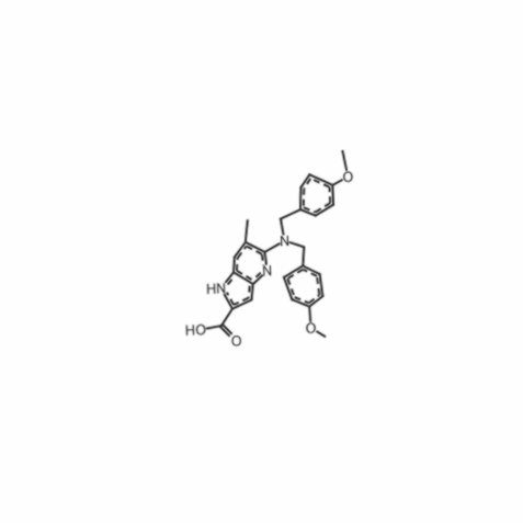 COc1ccc(CN(Cc2ccc(OC)cc2)c2nc3cc(C(=O)O)[nH]c3cc2C)cc1